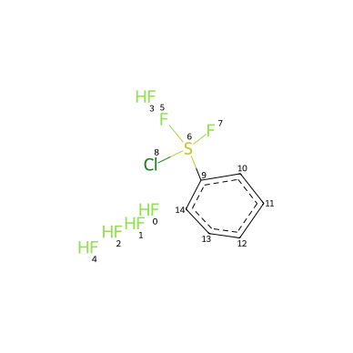 F.F.F.F.F.FS(F)(Cl)c1ccccc1